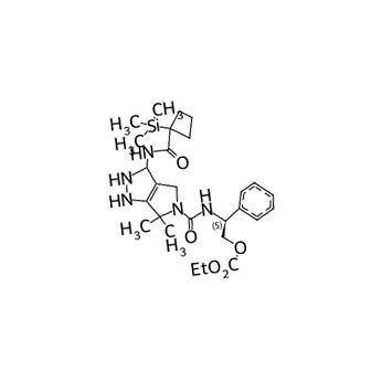 CCOC(=O)OC[C@@H](NC(=O)N1CC2=C(NNC2NC(=O)C2([Si](C)(C)C)CCC2)C1(C)C)c1ccccc1